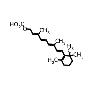 CC1=C(/C=C/C(C)=C/C=C/C(C)=C/COC(=O)O)C(C)(C)CCC1